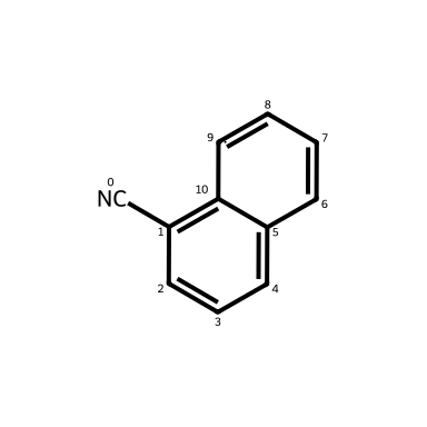 N#Cc1cccc2ccc[c]c12